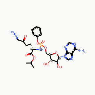 CC(C)OC(=O)[C@H](CCC(=O)C=[N+]=N)NP(=O)(OC[C@H]1O[C@@H](n2cnc3c(N)ncnc32)C(O)[C@@H]1O)Oc1ccccc1